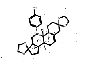 C[C@]12C[C@H](c3ccc(O)cc3)[C@H]3[C@@H](CC=C4CC5(CC[C@@H]43)OCCO5)[C@@H]1CCC21OCCO1